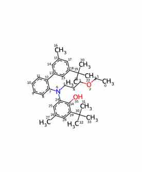 CCOCCCN(c1ccccc1-c1cc(C)cc(C(C)(C)C)c1)c1cc(C)cc(C(C)(C)C)c1O